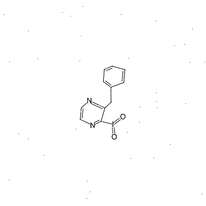 O=I(=O)c1nccnc1Cc1ccccc1